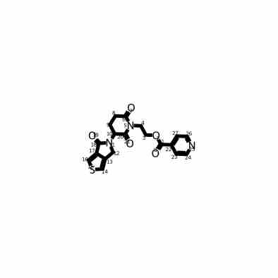 O=C(OCCN1C(=O)CCC(N2Cc3cscc3C2=O)C1=O)c1ccncc1